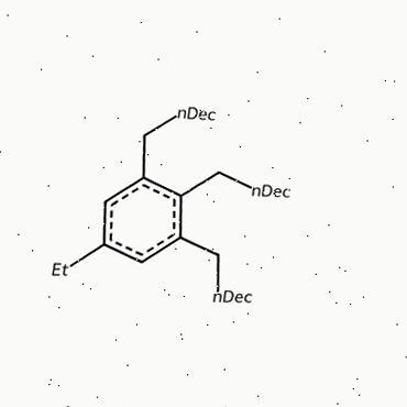 CCCCCCCCCCCc1cc(CC)cc(CCCCCCCCCCC)c1CCCCCCCCCCC